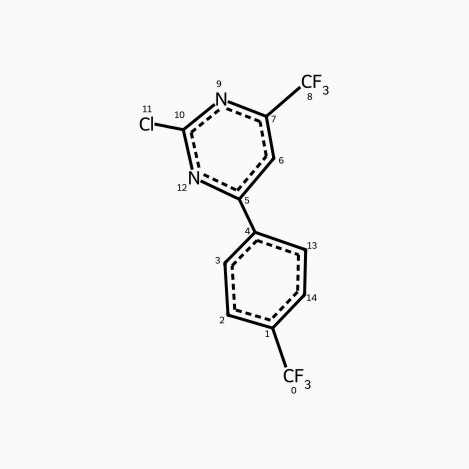 FC(F)(F)c1ccc(-c2cc(C(F)(F)F)nc(Cl)n2)cc1